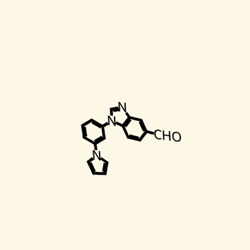 O=Cc1ccc2c(c1)ncn2-c1cccc(-n2cccc2)c1